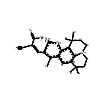 Cc1c(/C=C(/C#N)C(=O)O)c(=O)oc2c3c4c(cc12)C(C)(C)CCN4CCC3(C)C